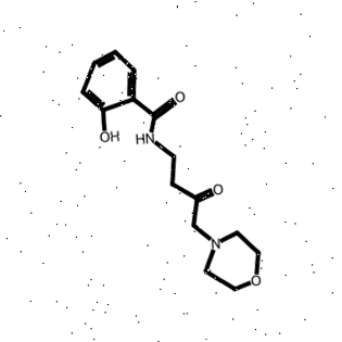 O=C(CCNC(=O)c1ccccc1O)CN1CCOCC1